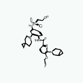 O=C(Nc1ccc(NS(=O)(=O)CCO)cc1N1CCC2(CC1)CC2)c1ccc(OCF)c(N2CC3CC3C2)n1